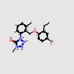 CCc1cc(Br)ccc1OCc1c(C)cccc1-n1nnn(C)c1=O